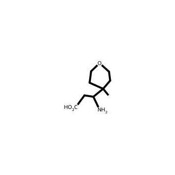 CC1(C(N)CC(=O)O)CCOCC1